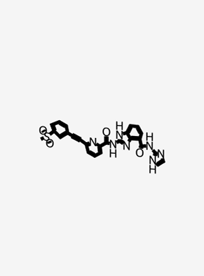 CS(=O)(=O)c1cccc(C#Cc2cccc(C(=O)Nc3nc4c(C(=O)Nc5ncc[nH]5)cccc4[nH]3)n2)c1